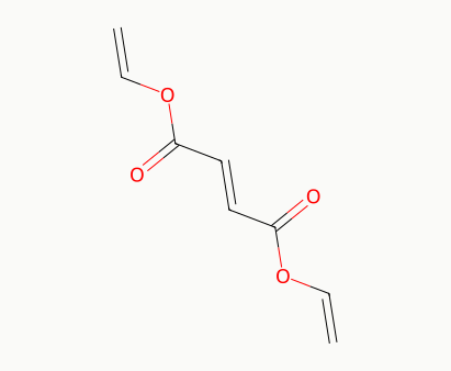 C=COC(=O)/C=C/C(=O)OC=C